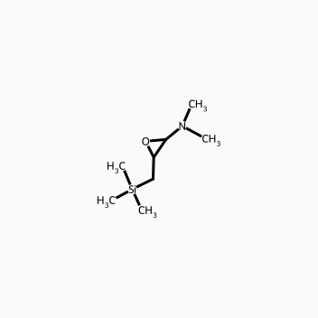 CN(C)C1OC1C[Si](C)(C)C